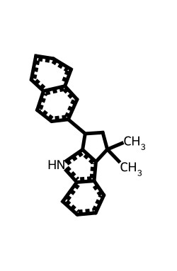 CC1(C)CC(c2ccc3ccccc3c2)c2[nH]c3ccccc3c21